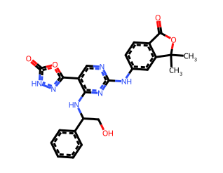 CC1(C)OC(=O)c2ccc(Nc3ncc(-c4n[nH]c(=O)o4)c(NC(CO)c4ccccc4)n3)cc21